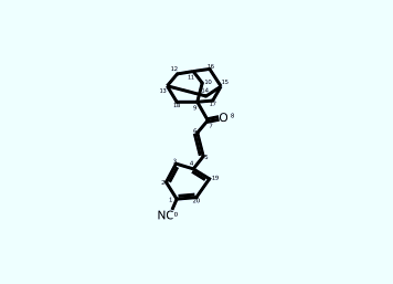 N#Cc1ccc(C=CC(=O)C23CC4CC(CC(C4)C2)C3)cc1